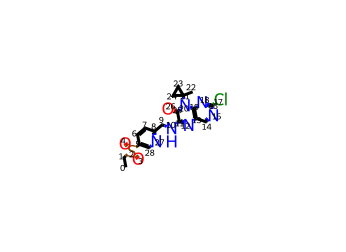 CCS(=O)(=O)c1ccc(CNc2nc3cnc(Cl)nc3n(C3(C)CC3)c2=O)nc1